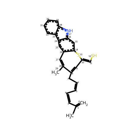 C=C(C)/C=C\C=C/CC1=C/C(=C/S)Sc2cc3[nH]c4ccccc4c3cc2/C=C\1C